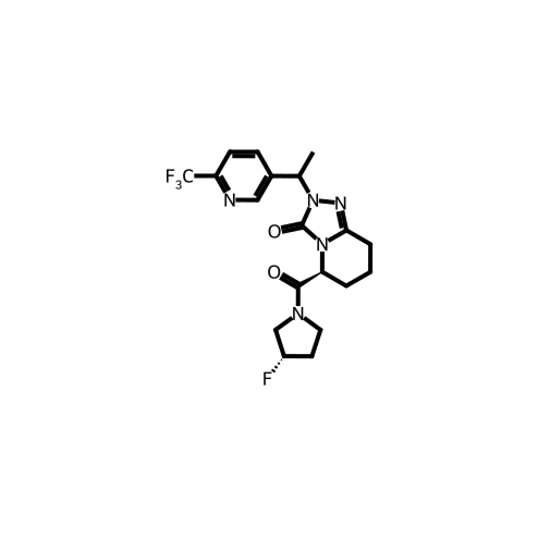 CC(c1ccc(C(F)(F)F)nc1)n1nc2n(c1=O)[C@H](C(=O)N1CC[C@H](F)C1)CCC2